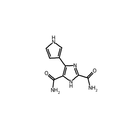 NC(=O)c1nc(-c2cc[nH]c2)c(C(N)=O)[nH]1